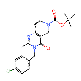 Cc1nc2c(c(=O)n1Cc1ccc(Cl)cc1)CN(C(=O)OC(C)(C)C)CC2